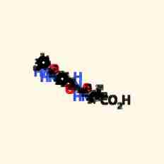 Cc1ccccc1NC(=O)Nc1ccc(CC(=O)NCC(=O)NC(C)CC(C)(C)CC(=O)O)cc1